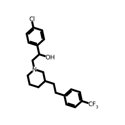 OC(CN1CCCC(CCc2ccc(C(F)(F)F)cc2)C1)c1ccc(Cl)cc1